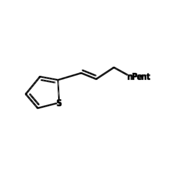 CCCCCCC=Cc1cccs1